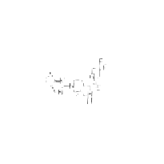 CC12CNC(S(=O)(=O)CC(F)(F)F)C1CCN(c1ncc3cc[nH]c3n1)C2